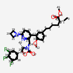 CC[C@H](CCCCc1ccc(OC)c(-c2ccc(N3CCC3)nc2CN2C(=O)O[C@H](c3cc(F)c(F)c(F)c3)[C@@H]2C)c1)C(=O)OC